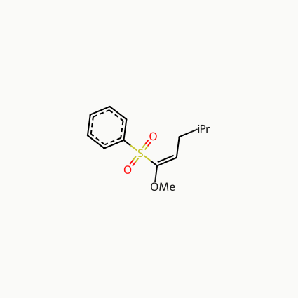 CO/C(=C/CC(C)C)S(=O)(=O)c1ccccc1